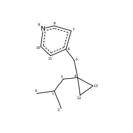 CC(C)CC1(Cc2ccncc2)CC1